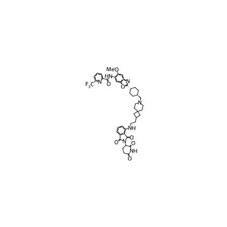 COc1cc2nc([C@H]3CC[C@H](CN4CCC5(CC4)CC(CCNc4cccc6c4C(=O)N(C4CCC(=O)NC4=O)C6=O)C5)CC3)oc2cc1NC(=O)c1cccc(C(F)(F)F)n1